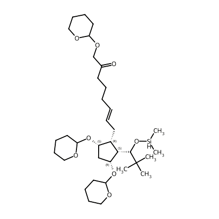 C[SiH](C)OC([C@H]1[C@@H](CC=CCCCC(=O)COC2CCCCO2)[C@@H](OC2CCCCO2)C[C@H]1OC1CCCCO1)C(C)(C)C